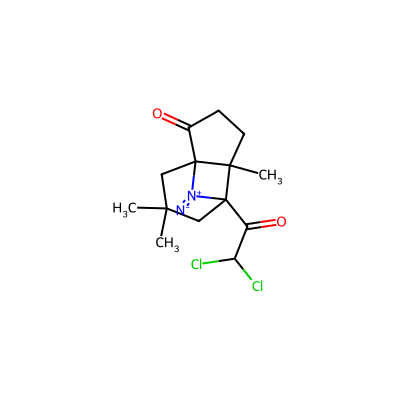 CC1(C)CC23C(=O)CCC2(C)C(C(=O)C(Cl)Cl)(C1)[N+]3=[N-]